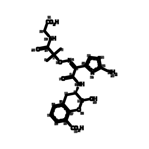 CC(C)(O/N=C(\C(=O)N[C@H]1Cc2cccc(C(=O)O)c2OB1O)c1csc(N)n1)C(=O)NCC(=O)O